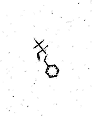 C[C@](C=O)(OCc1ccccc1)C(F)(F)F